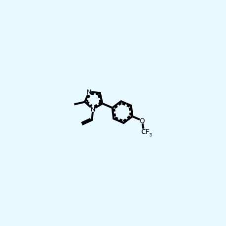 C=Cn1c(-c2ccc(OC(F)(F)F)cc2)cnc1C